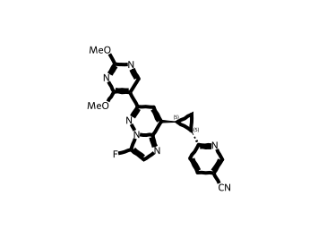 COc1ncc(-c2cc([C@H]3C[C@@H]3c3ccc(C#N)cn3)c3ncc(F)n3n2)c(OC)n1